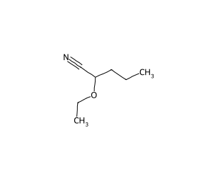 CCCC(C#N)OCC